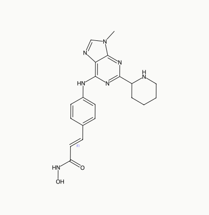 Cn1cnc2c(Nc3ccc(/C=C/C(=O)NO)cc3)nc(C3CCCCN3)nc21